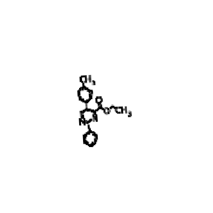 CCOC(=O)c1nc(-c2ccccc2)ncc1-c1ccc(C)cc1